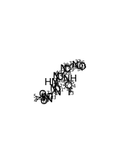 O=S(=O)(C1CC1)n1cc(-c2nccc(Nc3cc(NC4CCC(F)CC4)c(-c4ccc(CN5CCOCC5)cn4)cn3)n2)cn1